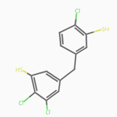 Sc1cc(Cc2cc(S)c(Cl)c(Cl)c2)ccc1Cl